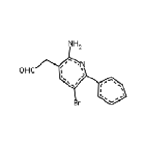 Nc1nc(-c2ccccc2)c(Br)cc1CC=O